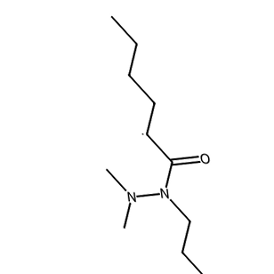 CCCC[CH]C(=O)N(CCC)N(C)C